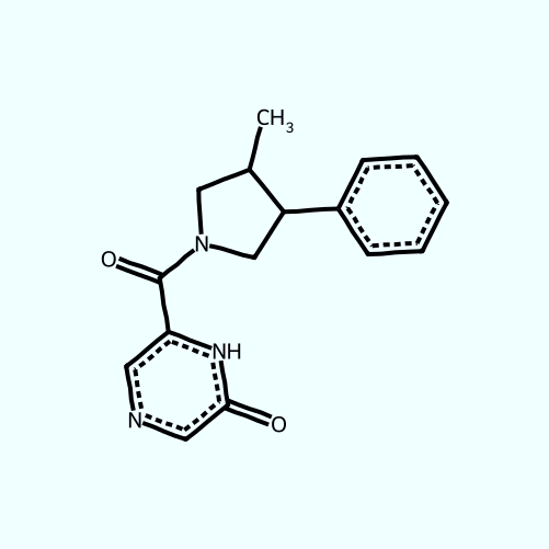 CC1CN(C(=O)c2cncc(=O)[nH]2)CC1c1ccccc1